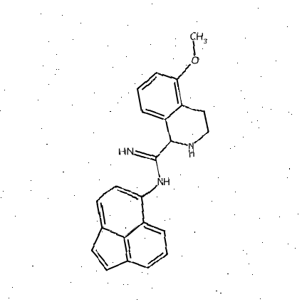 COc1cccc2c1CCNC2C(=N)Nc1ccc2c3c(cccc13)C=C2